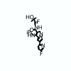 CC(C)Nc1c(C(=O)NC[C@@H](F)C(C)(C)O)cnn2cc(-c3ccc(F)cn3)cc12